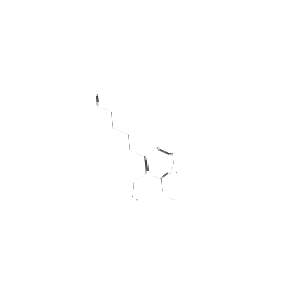 C=CCCCCc1cc(C)nc(OC)c1CN